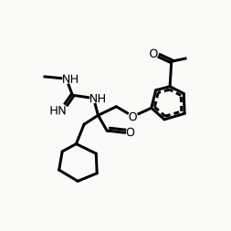 CNC(=N)NC(C=O)(COc1cccc(C(C)=O)c1)CC1CCCCC1